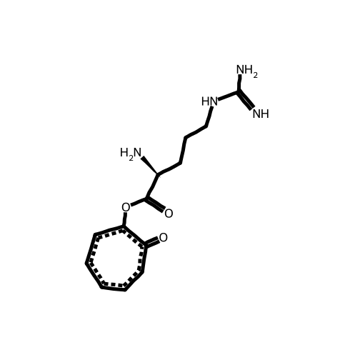 N=C(N)NCCC[C@H](N)C(=O)Oc1cccccc1=O